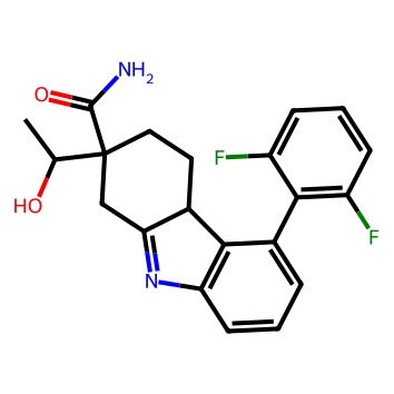 CC(O)C1(C(N)=O)CCC2C(=Nc3cccc(-c4c(F)cccc4F)c32)C1